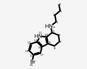 CCCCNC1CCCc2c1[nH]c1ccc(Br)cc21